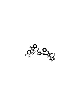 Cc1nnc2n1-c1sc(C#Cc3cnn(COc4cccc5c4C(=O)N(C4CCC(=O)NC4=O)C5=O)c3)c(Cc3ccccc3)c1COC2